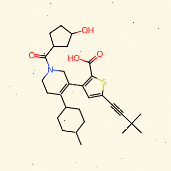 CC1CCC(C2=C(c3cc(C#CC(C)(C)C)sc3C(=O)O)CN(C(=O)C3CCC(O)C3)CC2)CC1